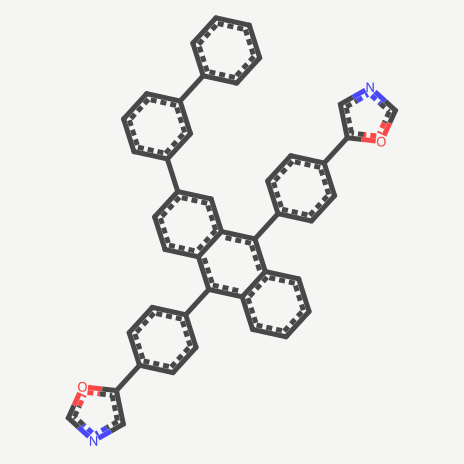 c1ccc(-c2cccc(-c3ccc4c(-c5ccc(-c6cnco6)cc5)c5ccccc5c(-c5ccc(-c6cnco6)cc5)c4c3)c2)cc1